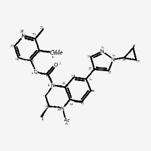 COc1c(OC(=O)N2C[C@H](C)N(C(C)=O)c3ccc(-c4cnn(C5CC5)c4)cc32)ccnc1C